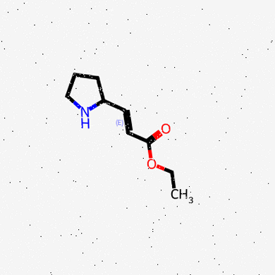 CCOC(=O)/C=C/C1CCCN1